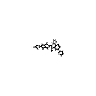 Nc1ccc(-n2cccn2)nc1NC(=O)N1CC2CC(N3CC(F)C3)CC2C1